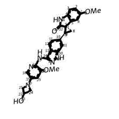 COc1ccc2c(c1)[C@]1(C[C@H]1c1ccc3c(Nc4ncc(N5CC(O)C5)cc4OC)n[nH]c3c1)C(=O)N2